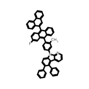 Cc1cc(-n2c3ccc(-c4ccccc4)c(-c4ccccc4)c3c3cccnc32)ccc1-c1c2ccccc2c(-c2cc3ccccc3c3ccccc23)c2ccc(F)cc12